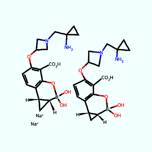 NC1(CN2CC(Oc3ccc4c(c3C(=O)O)O[B-](O)(O)[C@@H]3C[C@H]43)C2)CC1.NC1(CN2CC(Oc3ccc4c(c3C(=O)O)O[B-](O)(O)[C@@H]3C[C@H]43)C2)CC1.[Na+].[Na+]